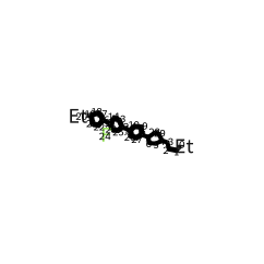 CC/C=C\CC1CCC(c2ccc(-c3ccc(-c4ccc(CC)cc4)c(F)c3)cc2)CC1